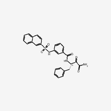 NC(=O)C(=O)[C@H](Cc1ccccc1)NC(=O)c1cccc(NS(=O)(=O)c2ccc3ccccc3c2)c1